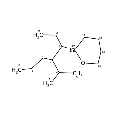 CCCC(C(C)C)C(CC)[SiH]1CCCCO1